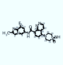 Cc1cn2cc(NC(=O)c3ccc(N4CCS(=N)(=O)CC4)c4ccnnc34)cc(F)c2n1